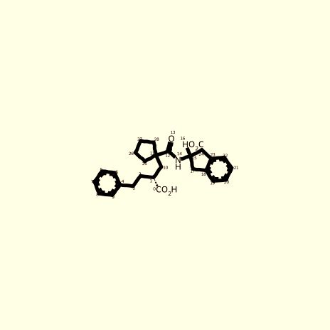 O=C(O)[C@H](CCc1ccccc1)CC1(C(=O)NC2(C(=O)O)Cc3ccccc3C2)CCCC1